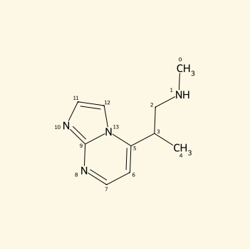 CNCC(C)c1ccnc2nccn12